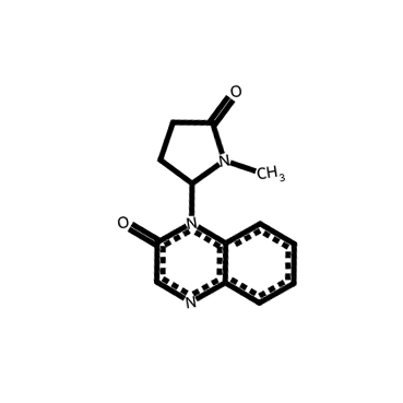 CN1C(=O)CCC1n1c(=O)cnc2ccccc21